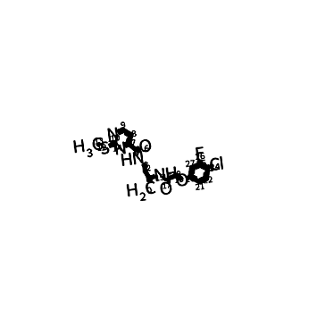 C=C(CCNC(=O)c1ccnc(SC)n1)NC(=O)COc1ccc(Cl)c(F)c1